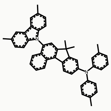 Cc1ccc(N(c2cccc(C)c2)c2ccc3c(c2)C(C)(C)c2cc(-n4c5ccc(C)cc5c5cc(C)ccc54)c4ccccc4c2-3)cc1